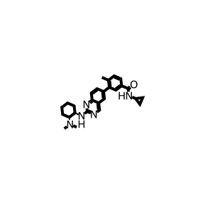 Cc1ccc(C(=O)NC2CC2)cc1-c1ccc2nc(N[C@@H]3CCCC[C@H]3N(C)C)ncc2c1